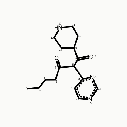 CCCCC(=O)C(C(=O)C1CCNCC1)c1ccncn1